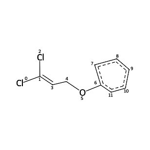 ClC(Cl)=CCOc1ccccc1